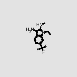 CCn1c(NC)c(N)c2ccc(C(F)(F)F)cc21